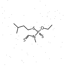 CCOP(=S)(SCCC(C)C)N(C)C=S